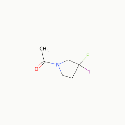 CC(=O)N1CCC(F)(I)C1